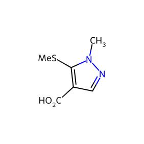 CSc1c(C(=O)O)cnn1C